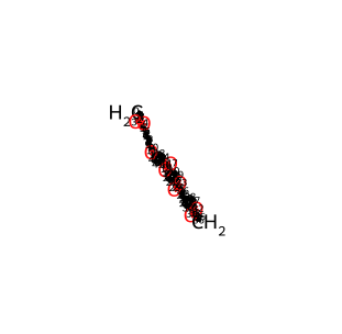 C=CC(=O)OCCCCCCOc1ccc(C(=O)Oc2ccc(OC(=O)CCc3ccc(OC(=O)C=C)cc3)cc2)cc1